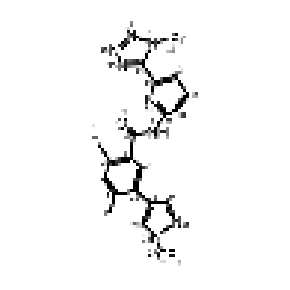 Cc1cc(F)c(C(=O)Nc2cccc(-c3nnnn3C(C)C)n2)cc1-c1cnn(C(F)(F)F)c1